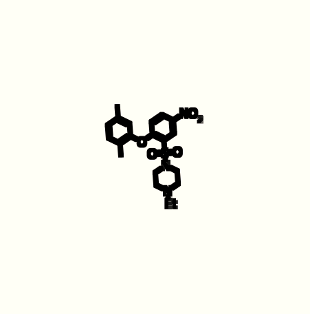 CCN1CCN(S(=O)(=O)c2cc([N+](=O)[O-])ccc2Oc2cc(C)ccc2C)CC1